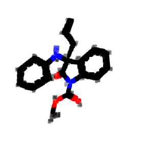 C=CC[C@]1(Nc2ccccc2)C(=O)N(C(=O)OC(C)(C)C)c2ccccc21